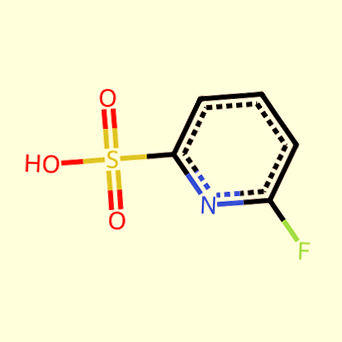 O=S(=O)(O)c1cccc(F)n1